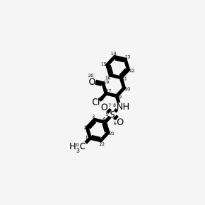 Cc1ccc(S(=O)(=O)NC(Cc2ccccc2)C(Cl)C=O)cc1